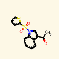 CC(=O)c1cn(S(=O)(=O)c2cccs2)c2ccccc12